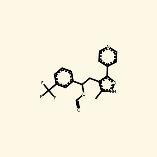 Cc1[nH]nc(-c2ccncc2)c1CC(OC=O)c1cccc(C(F)(F)F)c1